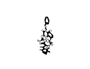 Cc1ccc(F)c(C(C)C(NS(=O)(=O)c2ccc(Cl)c3c2OCC(=O)N3CCOCc2ccccc2)c2n[nH]c(=O)o2)c1C